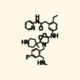 CCc1ccc(NC(=O)CN(Cc2ccc(F)cc2CNC)C(=O)C2(C)CCNCC2)cc1CC(=O)Nc1ccccn1